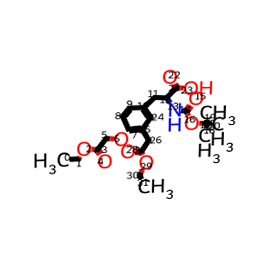 CCOC(=O)COc1ccc(CC(NC(=O)OC(C)(C)C)C(=O)O)cc1CC(=O)OCC